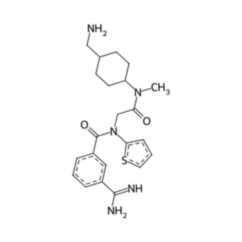 CN(C(=O)CN(C(=O)c1cccc(C(=N)N)c1)c1cccs1)C1CCC(CN)CC1